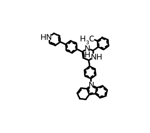 Cc1ccccc1C1NC(c2ccc(C3=CCNC=C3)cc2)=CC(c2ccc(-n3c4c(c5ccccc53)CCC=C4)cc2)N1